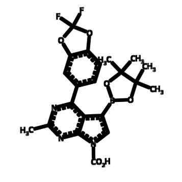 Cc1nc(-c2ccc3c(c2)OC(F)(F)O3)c2c(B3OC(C)(C)C(C)(C)O3)cn(C(=O)O)c2n1